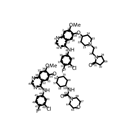 COc1cc2ncnc(Nc3ccc(F)c(Cl)c3)c2cc1OC1CCN(CCN2CCCC2=O)CC1.COc1cc2ncnc(Nc3ccc(F)c(Cl)c3)c2cc1O[C@H]1CC[C@@H](NC(=O)N2CCOCC2)CC1